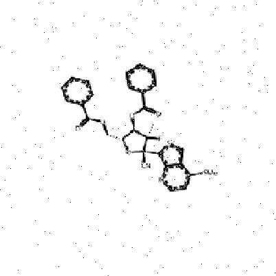 CSc1ccnc2c([C@]3(C#N)O[C@H](COC(=O)c4ccccc4)[C@@H](OC(=O)c4ccccc4)[C@@]3(C)F)scc12